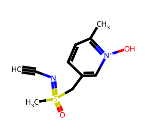 C#CN=S(C)(=O)Cc1ccc(C)[n+](O)c1